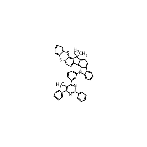 Cc1c(-c2ccccc2)nc(-c2ccccc2)nc1-c1cccc(-n2c3ccccc3c3ccc4c(c32)-c2ccc3c(c2C4(C)C)Sc2ccccc2S3)c1